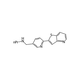 CCCNCc1ccc(-c2cc3ncccc3s2)nc1